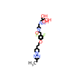 CCc1cnc(N2CCC(CCCOc3cc(F)c(CC(=O)N4CC(CNCC(O)(CO)CO)C4)c(F)c3)CC2)nc1